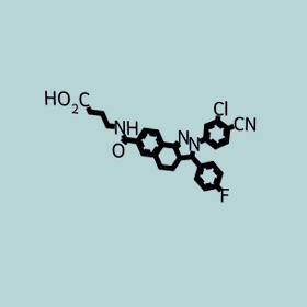 N#Cc1ccc(N2N=C3c4ccc(C(=O)NCCCC(=O)O)cc4CCC3C2c2ccc(F)cc2)cc1Cl